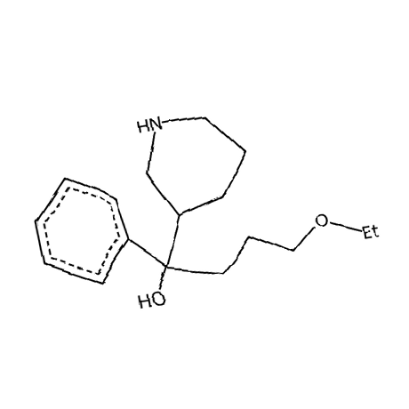 CCOCCCC(O)(c1ccccc1)C1CCCNC1